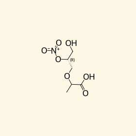 CC(OC[C@@H](CO)O[N+](=O)[O-])C(=O)O